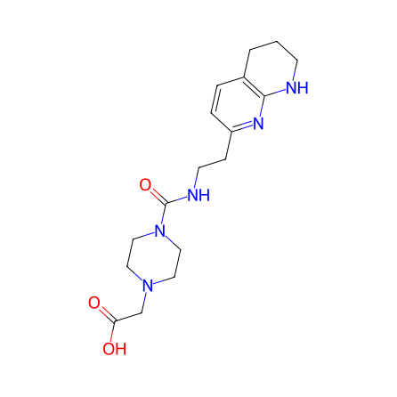 O=C(O)CN1CCN(C(=O)NCCc2ccc3c(n2)NCCC3)CC1